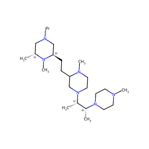 CC(C)N1C[C@@H](CCC2CN([C@@H](C)[C@@H](C)N3CCN(C)CC3)CCN2C)N(C)[C@H](C)C1